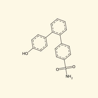 NS(=O)(=O)c1ccc(-c2ccccc2-c2ccc(O)cc2)cc1